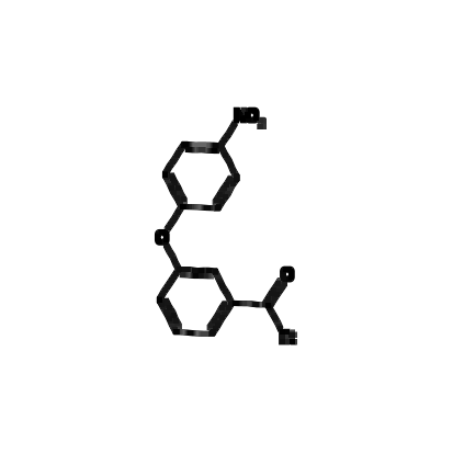 CCC(=O)c1cccc(Oc2ccc([N+](=O)[O-])cc2)c1